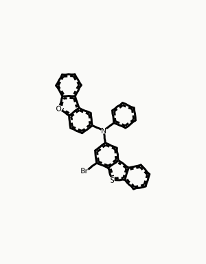 Brc1cc(N(c2ccccc2)c2ccc3oc4ccccc4c3c2)cc2c1sc1ccccc12